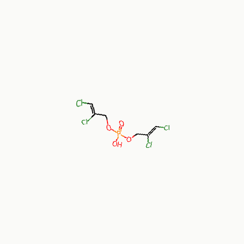 O=P(O)(OC/C(Cl)=C/Cl)OC/C(Cl)=C/Cl